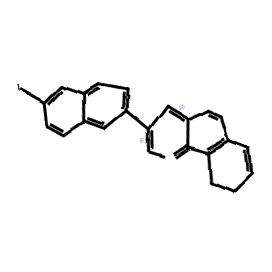 C=c1c2c(cc/c1=C/C(=C\C)c1ccc3cc(I)ccc3c1)C=CCC2